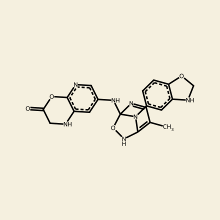 CC1=C2NOC(Nc3cnc4c(c3)NCC(=O)O4)(N=C1)N2c1ccc2c(c1)NCO2